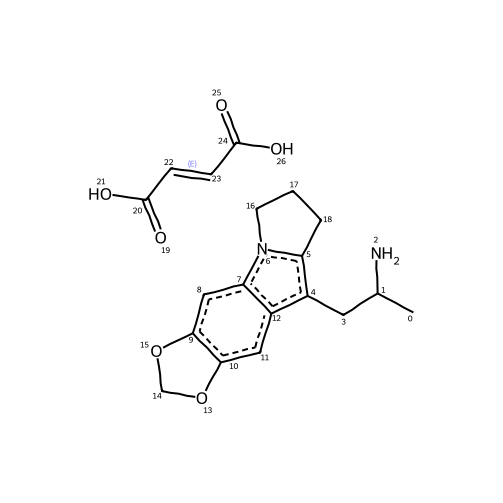 CC(N)Cc1c2n(c3cc4c(cc13)OCO4)CCC2.O=C(O)/C=C/C(=O)O